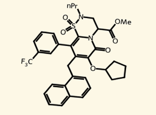 CCCN1CC(C(=O)OC)n2c(c(-c3cccc(C(F)(F)F)c3)c(Cc3cccc4ccccc34)c(OC3CCCC3)c2=O)S1(=O)=O